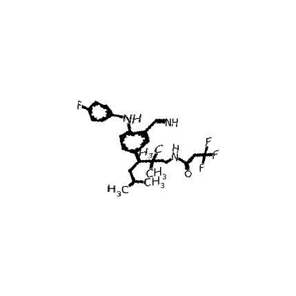 CC(C)CC(c1ccc(Nc2ccc(F)cc2)c(C=N)c1)C(C)(C)CNC(=O)CC(F)(F)F